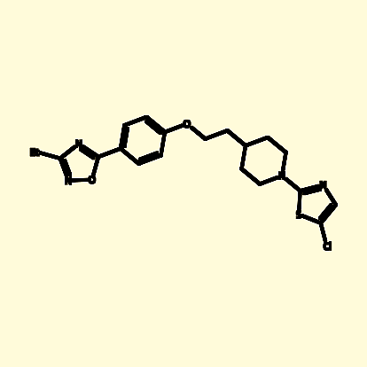 CCc1noc(-c2ccc(OCCC3CCN(c4ncc(Cl)s4)CC3)cc2)n1